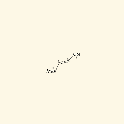 CS/[C]=C/C#N